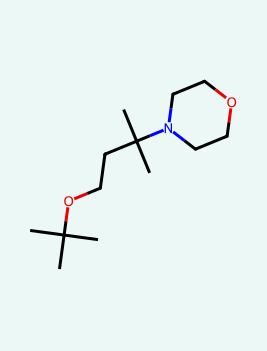 CC(C)(C)OCCC(C)(C)N1CCOCC1